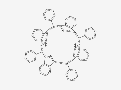 c1ccc(-c2c3nc(c(-c4ccccc4)c4[nH]c(c(-c5ccccc5)c5nc(c(-c6ccccc6)c6[nH]c2c2ccccc62)-c2ccccc2-5)c2ccccc42)-c2ccccc2-3)cc1